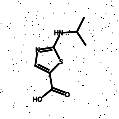 CC(C)Nc1ncc(C(=O)O)s1